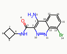 Nc1c(C(=O)NC2CCC2)nnc2c(Br)cccc12